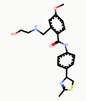 COc1ccc(C(=O)Nc2ccc(C3CSC(C)=N3)cc2)c(CNCCO)c1